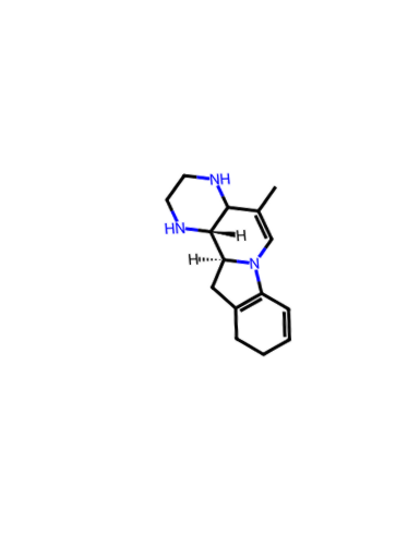 CC1=CN2C3=C(CCC=C3)C[C@H]2[C@@H]2NCCNC12